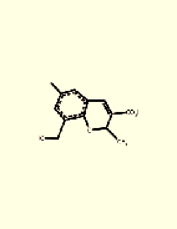 Cc1cc2c(c(CO)c1)OC(C(F)(F)F)C(C(=O)O)=C2